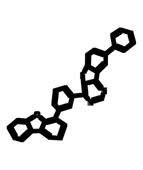 c1ccc(-c2ccc3sc4c(-c5cccc(-c6cccc7c6oc6ccccc67)c5)ncnc4c3c2)cc1